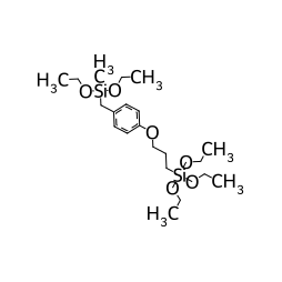 CCO[Si](C)(Cc1ccc(OCCC[Si](OCC)(OCC)OCC)cc1)OCC